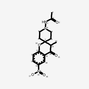 CC(=O)NN1CCC2(CC1)Oc1ccc([N+](=O)[O-])cc1C(=O)C2C